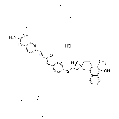 Cc1c2c(c3ccccc3c1O)OC(C)(CCSc1ccc(NC(=O)/C=C/c3ccc(NC(=N)N)cc3)cc1)CC2.Cl